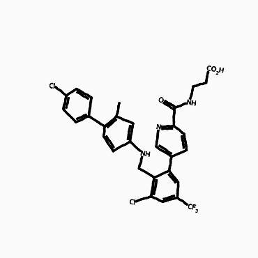 Cc1cc(NCc2c(Cl)cc(C(F)(F)F)cc2-c2ccc(C(=O)NCCC(=O)O)nc2)ccc1-c1ccc(Cl)cc1